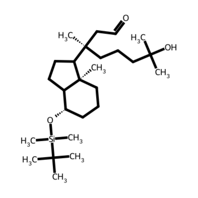 CC(C)(O)CCC[C@](C)(CC=O)C1CCC2[C@@H](O[Si](C)(C)C(C)(C)C)CCC[C@@]21C